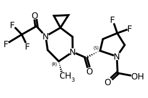 C[C@@H]1CN(C(=O)C(F)(F)F)C2(CC2)CN1C(=O)[C@@H]1CC(F)(F)CN1C(=O)O